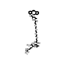 CC(CC(C)C(=O)N1Cc2ccccc2C#Cc2ccccc21)NC(=O)CCOCCOCCOCCOCCC(=O)N[C@H](C(=O)N[C@@H](CCCNC(N)=O)C(N)=O)C(C)C